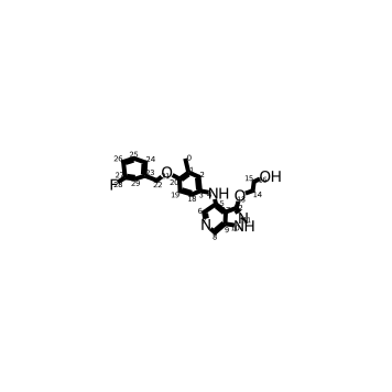 Cc1cc(Nc2cncc3[nH]nc(OCCO)c23)ccc1OCc1cccc(F)c1